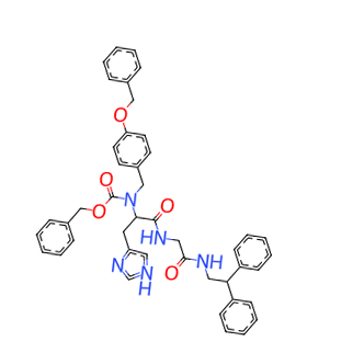 O=C(CNC(=O)C(Cc1c[nH]cn1)N(Cc1ccc(OCc2ccccc2)cc1)C(=O)OCc1ccccc1)NCC(c1ccccc1)c1ccccc1